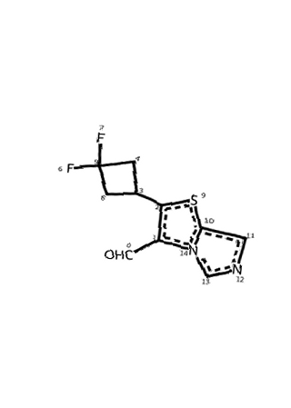 O=Cc1c(C2CC(F)(F)C2)sc2cncn12